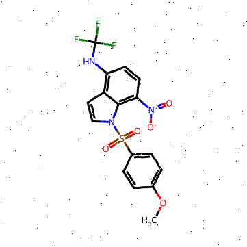 COc1ccc(S(=O)(=O)n2ccc3c(NC(F)(F)F)ccc([N+](=O)[O-])c32)cc1